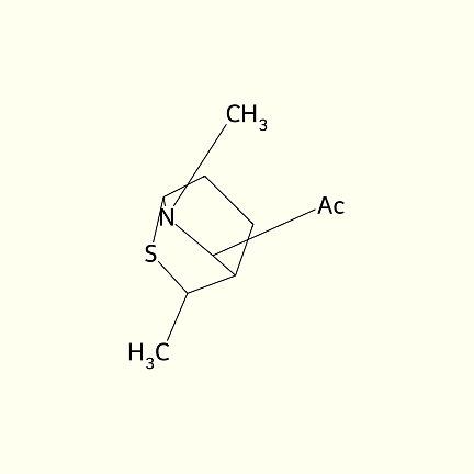 CC(=O)C1C2CCC(SC2C)N1C